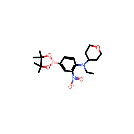 CCN(c1ccc(B2OC(C)(C)C(C)(C)O2)cc1[N+](=O)[O-])C1CCOCC1